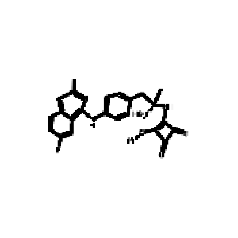 Cc1cc2ccc(F)cc2c(Nc2ccc(C[C@](C)(Nc3c(OC(C)C)c(=O)c3=O)C(=O)O)cc2)n1